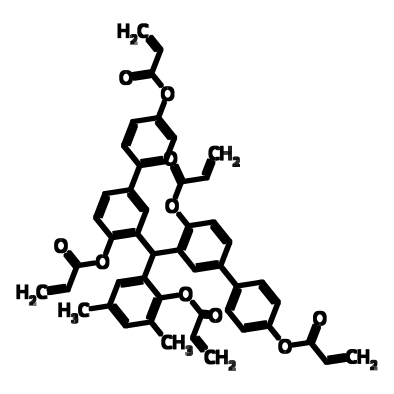 C=CC(=O)Oc1ccc(-c2ccc(OC(=O)C=C)c(C(c3cc(-c4ccc(OC(=O)C=C)cc4)ccc3OC(=O)C=C)c3cc(C)cc(C)c3OC(=O)C=C)c2)cc1